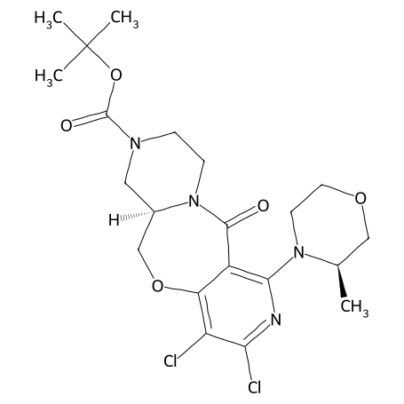 C[C@@H]1COCCN1c1nc(Cl)c(Cl)c2c1C(=O)N1CCN(C(=O)OC(C)(C)C)C[C@@H]1CO2